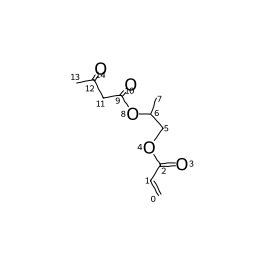 C=CC(=O)OCC(C)OC(=O)CC(C)=O